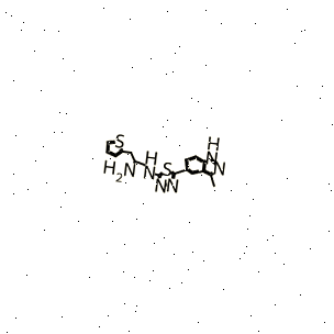 Cc1n[nH]c2ccc(-c3nnc(NCC(N)Cc4cccs4)s3)cc12